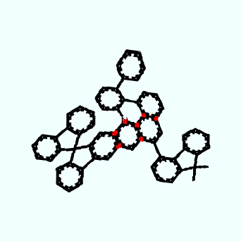 CC1(C)c2ccccc2-c2c(-c3cccc(N(c4ccc5c(c4)C4(c6ccccc6-c6ccccc64)c4ccccc4-5)c4cccc(-c5ccccc5)c4-c4ccccc4-c4ccccc4)c3)cccc21